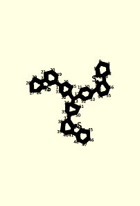 c1ccc2c(c1)sc1c(-c3ccc(C(c4ccc(-c5cccc6c5sc5ccccc56)cc4)c4ccc(-c5cccc6c5sc5ccccc56)cc4)cc3)cccc12